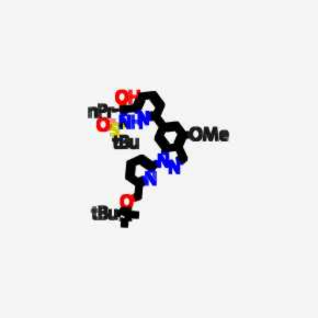 CCC[C@@](O)(N[S@+]([O-])C(C)(C)C)c1cccc(-c2cc(OC)c3cnn(-c4cccc(CO[Si](C)(C)C(C)(C)C)n4)c3c2)n1